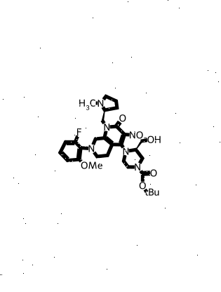 COc1cccc(F)c1N1CCc2c(N3CCN(C(=O)OC(C)(C)C)C[C@@H]3CO)c([N+](=O)[O-])c(=O)n(C[C@@H]3CCCN3C)c2C1